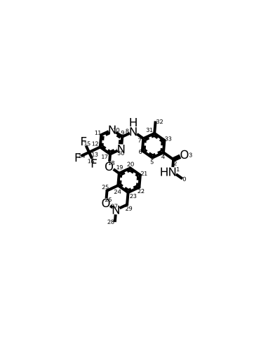 CNC(=O)c1ccc(Nc2ncc(C(F)(F)F)c(Oc3cccc4c3CON(C)C4)n2)c(C)c1